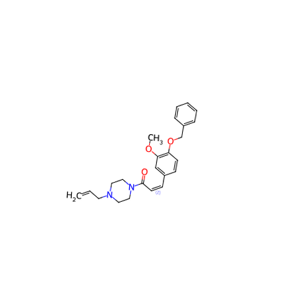 C=CCN1CCN(C(=O)/C=C\c2ccc(OCc3ccccc3)c(OC)c2)CC1